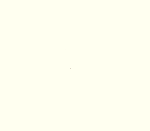 CC1CCC(C(C)(C)c2ccccc2)C(O)C1.O=C(O)Cl